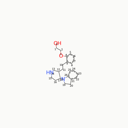 OCCOc1ccccc1CCC1CNCCC1N1CCc2ccccc21